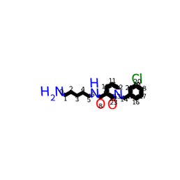 NCCCCCNC(=O)c1cccn(Cc2cccc(Cl)c2)c1=O